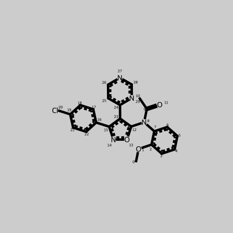 COc1ccccc1N(C(C)=O)c1onc(-c2ccc(Cl)cc2)c1-c1ccncn1